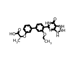 CCOc1cc(-c2cccc(O[C@H](C)C(=O)O)c2)ccc1-c1nc2c(c(=O)[nH]1)NNN2